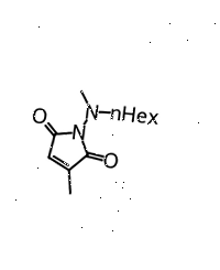 CCCCCCN(C)N1C(=O)C=C(C)C1=O